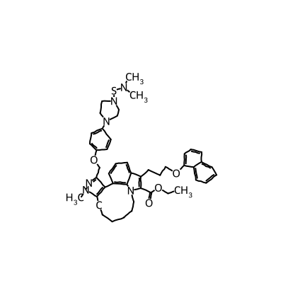 CCOC(=O)c1c(CCCOc2cccc3ccccc23)c2cccc3c2n1CCCCCCc1c-3c(COc2ccc(N3CCN(SN(C)C)CC3)cc2)nn1C